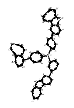 c1cc(-c2ccc3c(c2)sc2ccccc23)cc(N(c2ccc(-c3ccc4sc5ccccc5c4c3)cc2)c2ccc(-c3cccc4ccccc34)cc2)c1